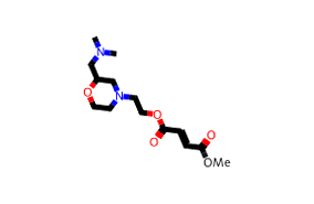 COC(=O)C=CC(=O)OCCN1CCOC(CN(C)C)C1